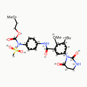 COCCOC(=O)N(c1ccc(NC(=O)c2cc(N3C(=O)CCNC3=O)cc(C(C)(C)C)c2OC)cc1)S(C)(=O)=O